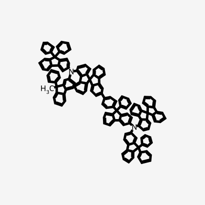 CC1(c2ccccc2)c2ccccc2-c2ccc(N(c3ccc4c(c3)-c3ccccc3C4(c3ccccc3)c3ccccc3)c3cccc4c3-c3ccccc3C43c4ccccc4-c4cc(-c5ccc(C6(c7ccccc7)c7ccccc7-c7cc(N(c8ccc9c(c8)C(c8ccccc8)(c8ccccc8)c8ccccc8-9)c8cccc9c8-c8ccccc8C98c9ccccc9-c9ccccc98)ccc76)cc5)ccc43)cc21